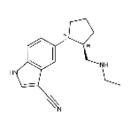 CCNC[C@@H]1CCC[C@H]1c1ccc2[nH]cc(C#N)c2c1